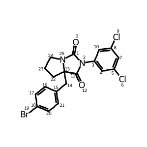 O=C1N(c2cc(Cl)cc(Cl)c2)C(=O)C2(Cc3ccc(Br)cc3)CCCN12